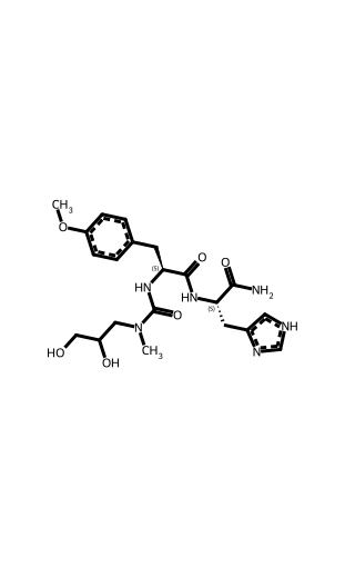 COc1ccc(C[C@H](NC(=O)N(C)CC(O)CO)C(=O)N[C@@H](Cc2c[nH]cn2)C(N)=O)cc1